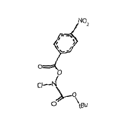 CC(C)(C)OC(=O)N(Cl)OC(=O)c1ccc([N+](=O)[O-])cc1